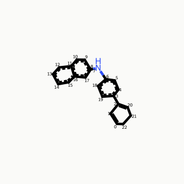 C1=CC(c2ccc(Nc3ccc4ccccc4c3)cc2)=CCC1